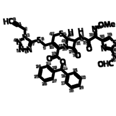 C#CCn1nnnc1SCC1=C(C(=O)OC(c2ccccc2)c2ccccc2)N2C(=O)C(NC(=O)C(=NOC)c3csc(NC=O)n3)[C@@H]2SC1